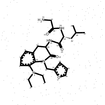 CCN(CC)c1cccc2c1N(Cc1ccco1)C(=O)C(NC(=O)[C@@H](CC(C)C)NC(=O)CN)C2